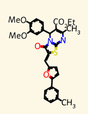 CCOC(=O)C1=C(C)N=c2s/c(=C\c3ccc(-c4cccc(C)c4)o3)c(=O)n2C1c1ccc(OC)c(OC)c1